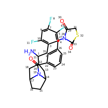 NC(Cc1cc(F)c(F)cc1F)C1CC2CCC(C1)N2C(=O)c1cccc(CN2C(=O)CSC2=O)c1